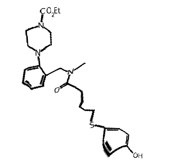 CCOC(=O)N1CCN(c2ccccc2CN(C)C(=O)CCCSc2ccc(O)cc2)CC1